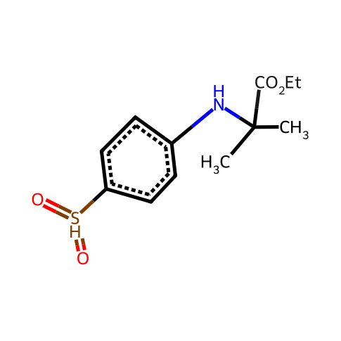 CCOC(=O)C(C)(C)Nc1ccc([SH](=O)=O)cc1